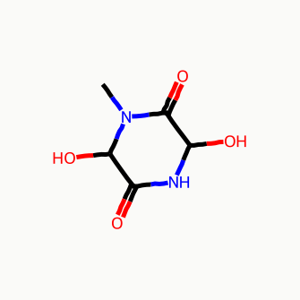 CN1C(=O)C(O)NC(=O)C1O